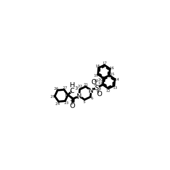 CC1(C(=O)N2CCN(S(=O)(=O)c3cccc4ccccc34)CC2)CCCCC1